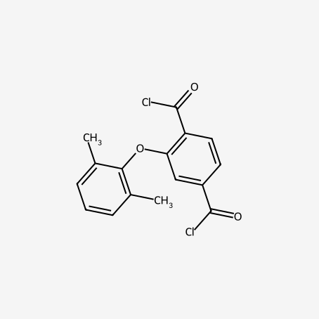 Cc1cccc(C)c1Oc1cc(C(=O)Cl)ccc1C(=O)Cl